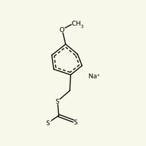 COc1ccc(CSC(=S)[S-])cc1.[Na+]